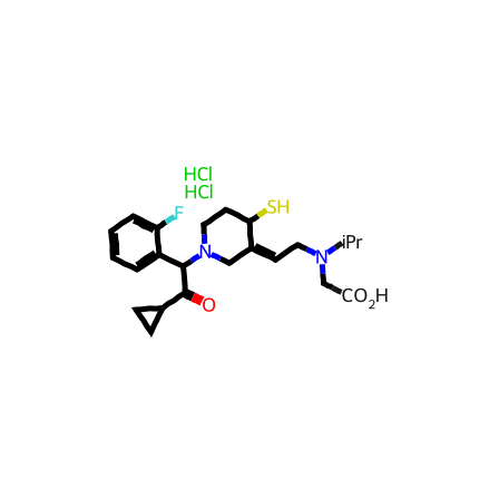 CC(C)N(C/C=C1/CN(C(C(=O)C2CC2)c2ccccc2F)CCC1S)CC(=O)O.Cl.Cl